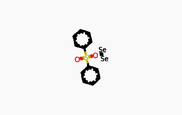 O=S(=O)(c1ccccc1)c1ccccc1.[Se]=[Se]